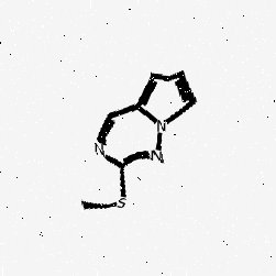 CSc1ncc2cccn2n1